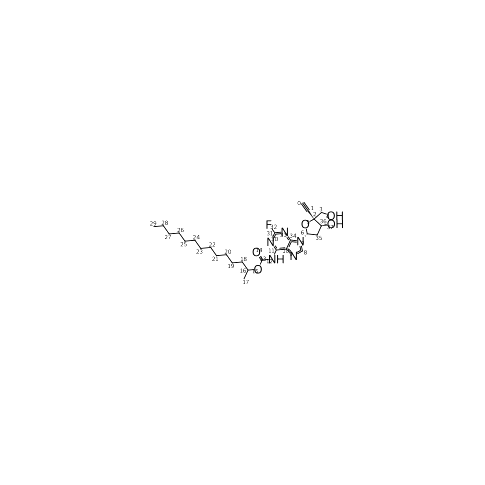 C#C[C@]1(CO)O[C@@H](n2cnc3c(NC(=O)OC(C)CCCCCCCCCCCC)nc(F)nc32)C[C@@H]1O